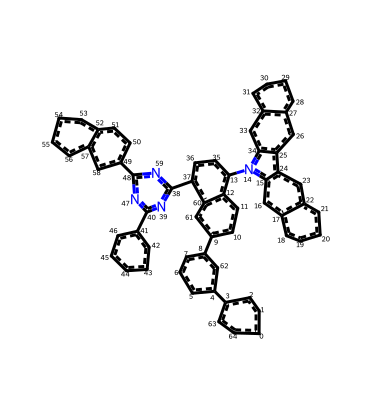 c1ccc(-c2cccc(-c3ccc4c(-n5c6cc7ccccc7cc6c6cc7ccccc7cc65)ccc(-c5nc(-c6ccccc6)nc(-c6ccc7ccccc7c6)n5)c4c3)c2)cc1